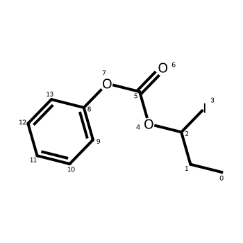 CCC(I)OC(=O)Oc1ccccc1